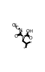 CC(C)CN(C(=O)O)C(=O)N=C=O